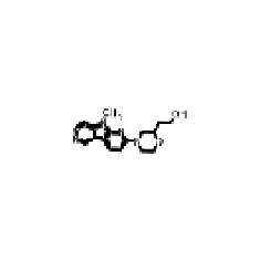 Cn1c2ccncc2c2ccc(N3CCOC(CCO)C3)nc21